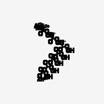 O=C([O-])OO.O=C([O-])OO.O=C([O-])OO.O=C([O-])OO.O=C([O-])OO.O=C([O-])OO.O=C([O-])OO.[Al+3].[Mg+2].[Zn+2]